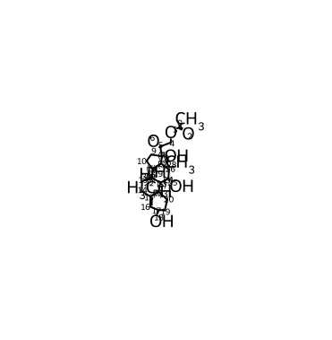 CC(=O)OCC(=O)[C@@]1(O)CC[C@H]2[C@@H]3CCC4=CC(O)CC[C@]4(C)[C@H]3[C@@H](O)C[C@@]21C